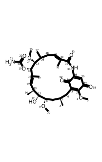 COC1=C2C[C@@H](C)C[C@H](OC)[C@H](O)[C@@H](C)/C=C(\C)[C@H](OC(N)=O)[C@@H](OC)C(C)C/C=C(\C)C(=O)NC(=CC1=O)C2=O